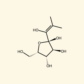 CC(C)=C(O)[C@@]1(O)O[C@@H](CO)[C@@H](O)[C@@H]1O